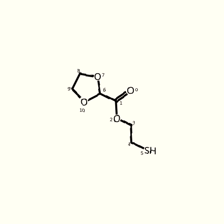 O=C(OCCS)C1OCCO1